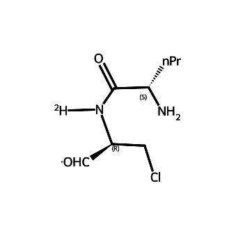 [2H]N(C(=O)[C@@H](N)CCC)[C@H]([C]=O)CCl